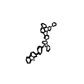 c1ccc(-c2ccc(-n3c4ccccc4c4cc(-c5ccc6c(c5)c5ccccc5n6-c5ccc(-c6ccc7c(c6)sc6ccccc67)cc5)ccc43)c(-c3ccccc3)c2)cc1